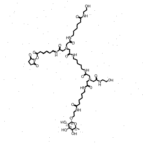 C[C@@H]1O[C@@H](OCCNC(=O)CCCCCNC(=O)CN(CC(=O)NCCO)CC(=O)NCCCCCNC(=O)CN(CC(=O)NCCCCCC(=O)NCCO)CC(=O)NCCCCCC(=O)ON2C(=O)CCC2=O)[C@@H](O)[C@H](O)[C@@H]1O